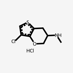 CNC1COc2c(Cl)csc2C1.Cl